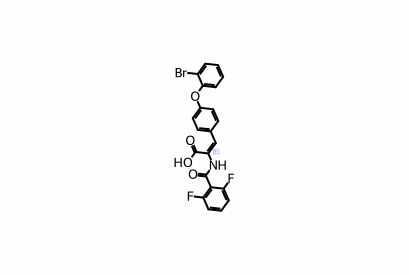 O=C(O)/C(=C\c1ccc(Oc2ccccc2Br)cc1)NC(=O)c1c(F)cccc1F